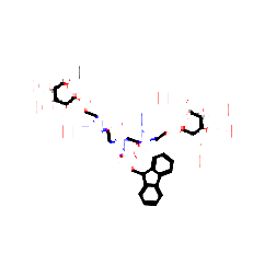 C[C@@H]1O[C@@H](OCCNC(=O)CN(CC(=O)NCCO[C@H]2O[C@H](CO)[C@@H](O)[C@H](O)[C@@H]2O)C(=O)OCC2c3ccccc3-c3ccccc32)[C@@H](O)[C@H](O)[C@@H]1O